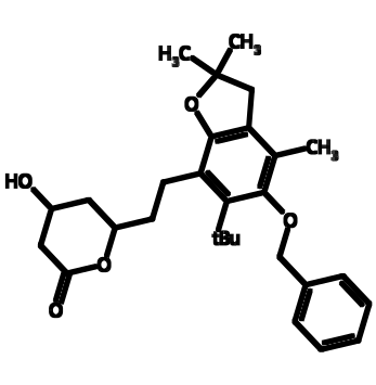 Cc1c2c(c(CCC3CC(O)CC(=O)O3)c(C(C)(C)C)c1OCc1ccccc1)OC(C)(C)C2